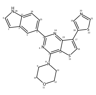 c1cc2cc(-c3nc(N4CCOCC4)c4scc(-c5cncs5)c4n3)ccc2[nH]1